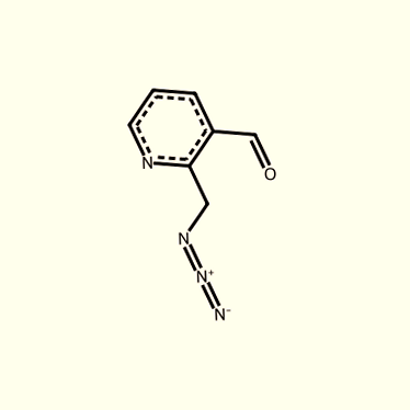 [N-]=[N+]=NCc1ncccc1C=O